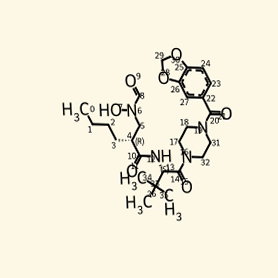 CCCC[C@H](CN(O)C=O)C(=O)N[C@H](C(=O)N1CCN(C(=O)c2ccc3c(c2)OCO3)CC1)C(C)(C)C